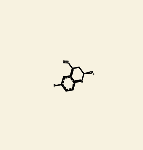 O=CC1=c2cc(F)ccc2=N[C@H](C(F)(F)F)C1